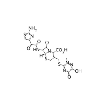 Cn1nc(O)c(=O)nc1SCC1=C(C(=O)O)N2C(=O)C(NC(=O)C(=O)c3csc(N)n3)[C@H]2SC1